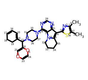 Cc1nc(-c2c3n(c4c(N5CCN(C(C6=CC=CCC6)C6=COC=CO6)CC5)ncnc24)CCCC3)sc1C